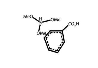 CO[SiH](OC)OC.O=C(O)c1ccccc1